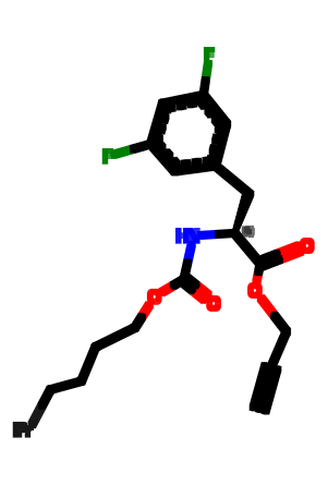 C#CCOC(=O)[C@H](Cc1cc(F)cc(F)c1)NC(=O)OCCCCC(C)C